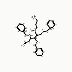 CCCCN(C)C(COCc1ccccc1)C(OCc1ccccc1)C(CC=O)OCc1ccccc1